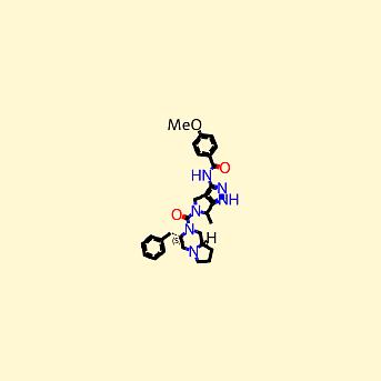 COc1ccc(C(=O)Nc2n[nH]c3c2CN(C(=O)N2C[C@@H]4CCCN4C[C@@H]2Cc2ccccc2)C3C)cc1